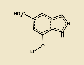 CCOc1cc(C(=O)O)cc2cn[nH]c12